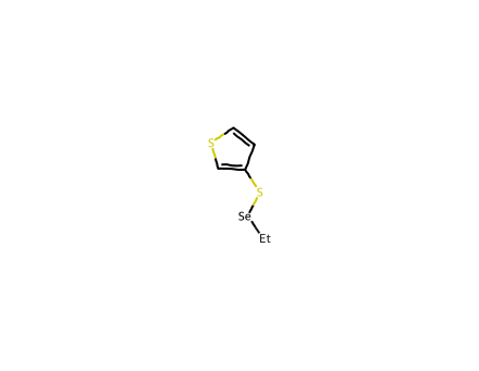 CC[Se]Sc1ccsc1